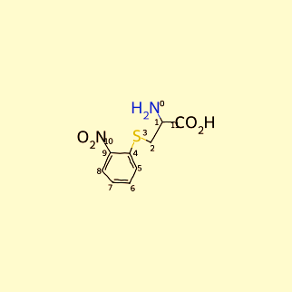 NC(CSc1ccccc1[N+](=O)[O-])C(=O)O